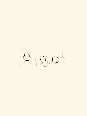 O=C(NCc1cc(F)cc(Cl)c1)C1(O)CCN(c2ccc(C(F)F)nc2)C1=O